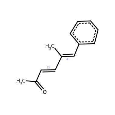 CC(=O)/C=C/C(C)=C/c1ccccc1